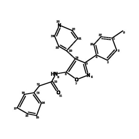 Cc1ccc(-c2noc(NC(=O)Cc3ccccc3)c2-c2ccncc2)cc1